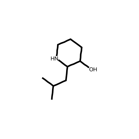 CC(C)CC1NCCCC1O